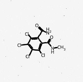 CNC(=O)c1c(Cl)c(Cl)c(Cl)c(Cl)c1C(N)=O